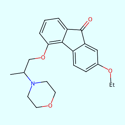 CCOc1ccc2c(c1)C(=O)c1cccc(OCC(C)N3CCOCC3)c1-2